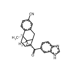 CC1(C)C2Cc3cc(C#N)ccc3[C@]1(C)CCN2C(=O)c1ccc2nc[nH]c2c1